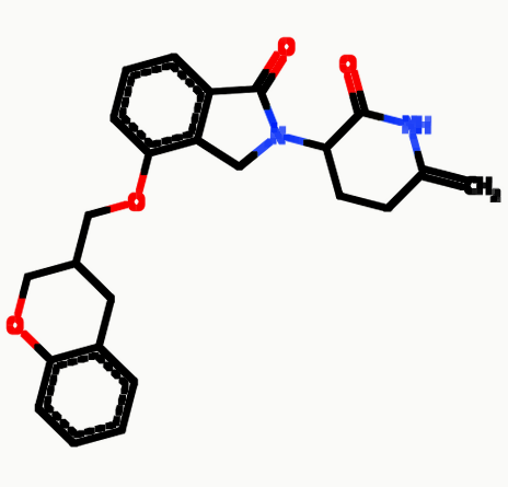 C=C1CCC(N2Cc3c(OCC4COc5ccccc5C4)cccc3C2=O)C(=O)N1